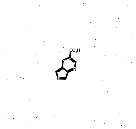 O=C(O)C1=CN=C2C=NC=C2C1